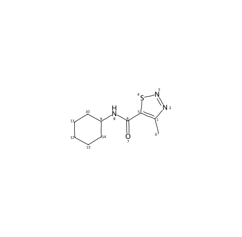 Cc1nnsc1C(=O)NC1CCCCC1